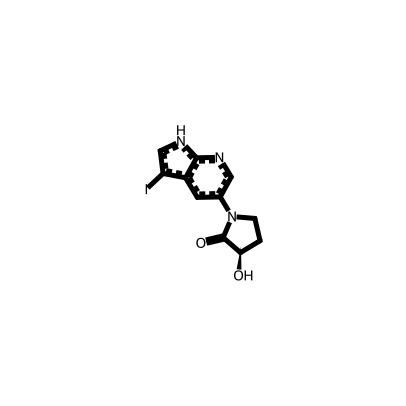 O=C1[C@H](O)CCN1c1cnc2[nH]cc(I)c2c1